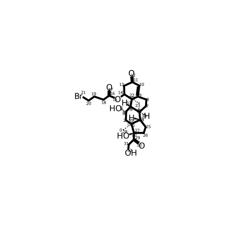 C[C@]12C[C@H](O)[C@H]3[C@@H](CCC4=CC(=O)CC(OC(=O)CCCBr)[C@@]43C)[C@@H]1CC[C@]2(O)C(=O)CO